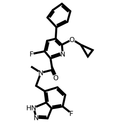 CN(Cc1ccc(F)c2cn[nH]c12)C(=O)c1nc(OC2CC2)c(-c2ccccc2)cc1F